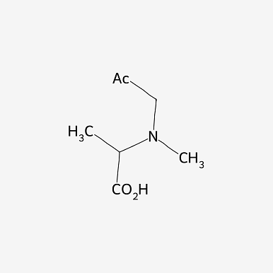 CC(=O)CN(C)C(C)C(=O)O